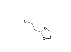 [Li][CH2]CC1OCCO1